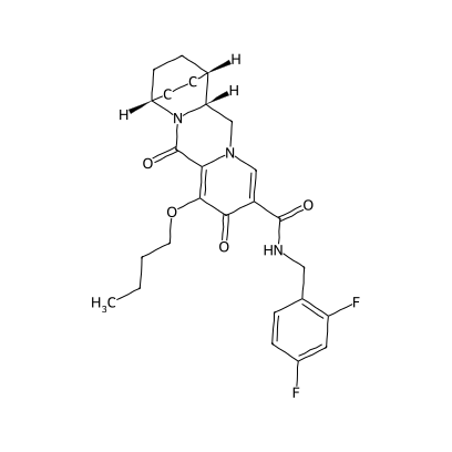 CCCCOc1c2n(cc(C(=O)NCc3ccc(F)cc3F)c1=O)C[C@H]1[C@H]3CC[C@H](CC3)N1C2=O